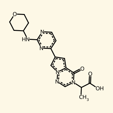 CC(C(=O)O)n1cnn2cc(-c3ccnc(NC4CCOCC4)n3)cc2c1=O